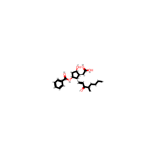 CCCCC(C)C(=O)C=C[C@H]1[C@H](CC(=O)O)[C@H](O)C[C@@H]1OC(=O)c1ccccc1